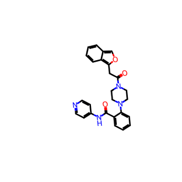 O=C(Nc1ccncc1)c1ccccc1N1CCN(C(=O)Cc2occ3ccccc23)CC1